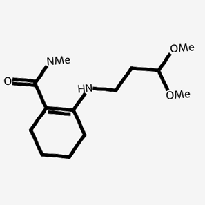 CNC(=O)C1=C(NCCC(OC)OC)CCCC1